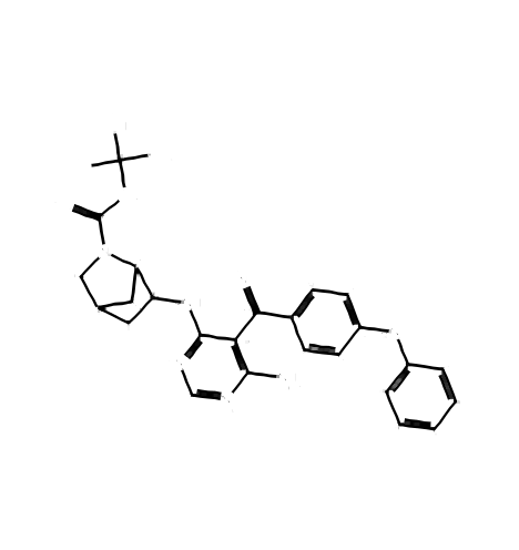 CC(C)(C)OC(=O)N1CC2CC(Nc3ncnc(N)c3C(=N)c3ccc(Nc4ccccc4)cc3)C1C2